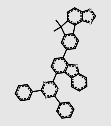 CC1(C)c2cc(-c3ccc(-c4nc(-c5ccccc5)nc(-c5ccccc5)n4)c4c3oc3ccccc34)ccc2-c2c1ccc1ncoc21